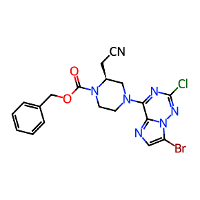 N#CC[C@H]1CN(c2nc(Cl)nn3c(Br)cnc23)CCN1C(=O)OCc1ccccc1